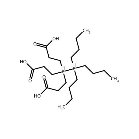 CCCC[PH](CCCC)(CCCC)[PH](CCC(=O)O)(CCC(=O)O)CCC(=O)O